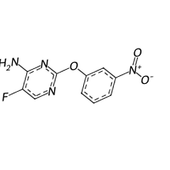 Nc1nc(Oc2cccc([N+](=O)[O-])c2)ncc1F